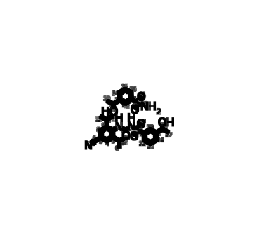 CC(C)c1cc(C#N)cc(C(C)C)c1NC(=O)NS(=O)(=O)c1cccc(C(C)O)c1.CC(O)c1cccc(S(N)(=O)=O)c1